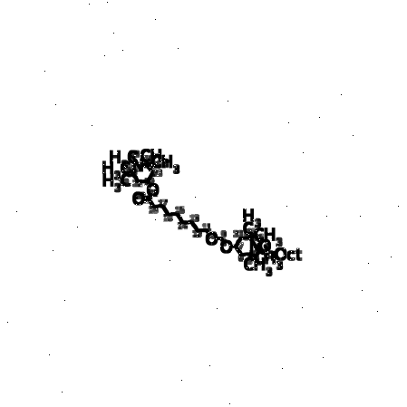 CCCCCCCCON1C(C)(C)CC(OCOCCCCCCCCC(=O)OC2CC(C)(C)N(C)C(C)(C)C2)CC1(C)C